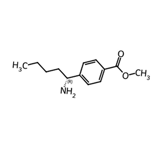 CCCC[C@@H](N)c1ccc(C(=O)OC)cc1